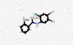 CCOC(=O)C(Nc1cc(Cl)c(Cl)cc1Cl)c1ccccc1OC